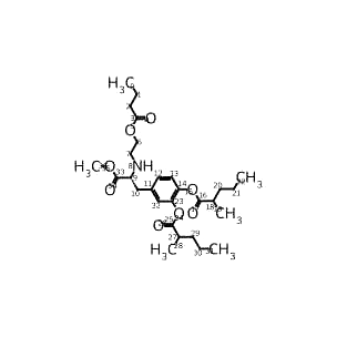 CCCC(=O)OCCN[C@@H](Cc1ccc(OC(=O)C(C)CCC)c(OC(=O)C(C)CCC)c1)C(=O)OC